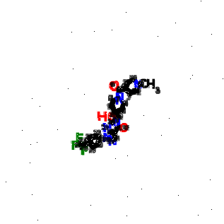 CN1CCC(C(=O)N2CCC(O)(Cn3cnc4c(cnn4-c4ccc(C(F)(F)F)cc4)c3=O)CC2)CC1